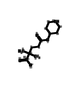 CC(C)(CCC(=O)OC1CCNCC1)[N+](=O)[O-]